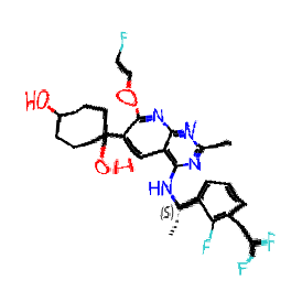 Cc1nc(N[C@@H](C)c2cccc(C(F)F)c2F)c2cc(C3(O)CCC(O)CC3)c(OCCF)nc2n1